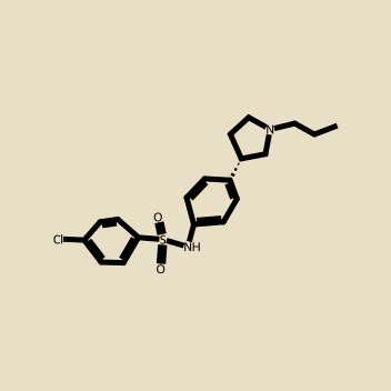 CCCN1CC[C@@H](c2ccc(NS(=O)(=O)c3ccc(Cl)cc3)cc2)C1